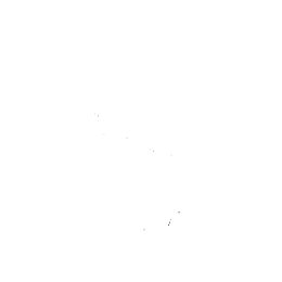 O=C(C1CC[C@@H](CO)C1)N1CC[C@]2(C1)C(=O)Nc1cc(Cl)c(Cl)cc12